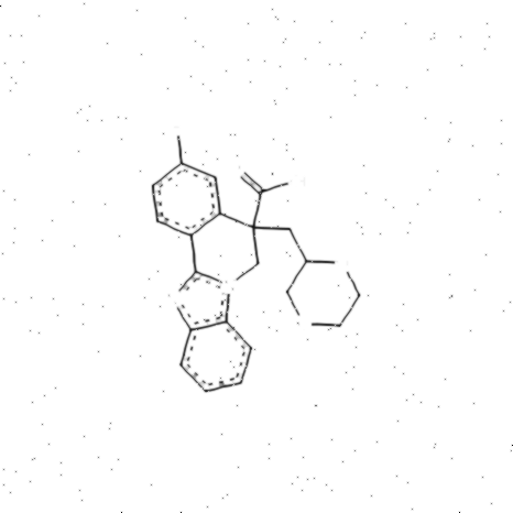 O=C(O)C1(CC2COCCO2)Cn2c(nc3ccccc32)-c2ccc(F)cc21